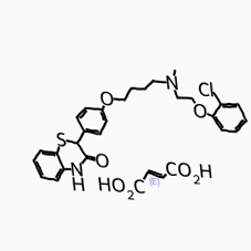 CN(CCCCOc1ccc(C2Sc3ccccc3NC2=O)cc1)CCOc1ccccc1Cl.O=C(O)/C=C/C(=O)O